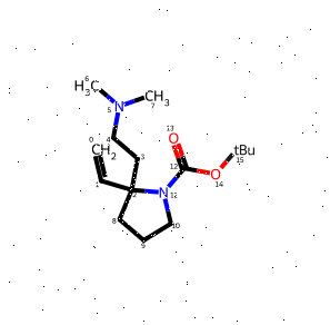 C=CC1(CCN(C)C)CCCN1C(=O)OC(C)(C)C